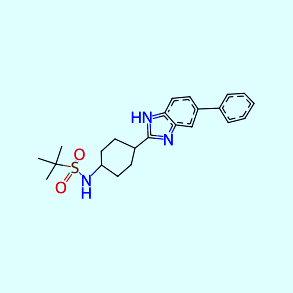 CC(C)(C)S(=O)(=O)NC1CCC(c2nc3cc(-c4ccccc4)ccc3[nH]2)CC1